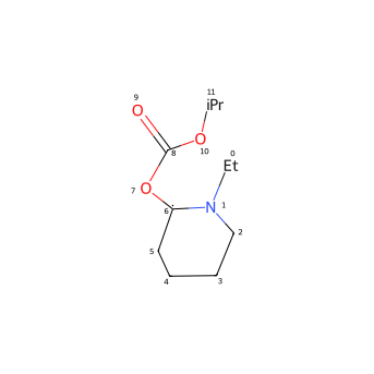 CCN1CCCC[C]1OC(=O)OC(C)C